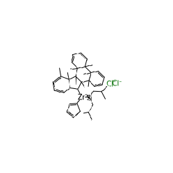 CC1=CC=CC2[CH]([Zr+2]([C]3=CC=CC3)=[Si](CC(C)C)CC(C)C)C3(C)C4(C)C=CC=CC4(C)C4(C)C=CC=CC4(C)C3(C)C12C.[Cl-].[Cl-]